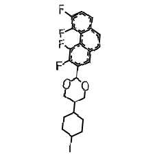 Fc1ccc2ccc3cc(C4OCC(C5CCC(I)CC5)CO4)c(F)c(F)c3c2c1F